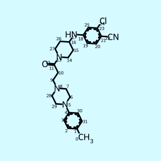 Cc1ccc(N2CCN(CCC(=O)N3CCC(Nc4ccc(C#N)c(Cl)c4)CC3)CC2)cc1